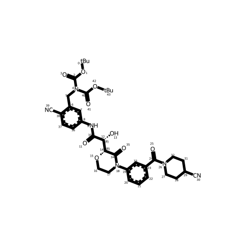 CC(C)(C)OC(=O)N(Cc1cc(NC(=O)[C@H](O)[C@H]2OCCN(c3cccc(C(=O)N4CCC(C#N)CC4)c3)C2=O)ccc1C#N)C(=O)OC(C)(C)C